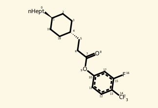 CCCCCCC[C@H]1CC[C@H](CCC(=O)Oc2ccc(C(F)(F)F)c(F)c2)CC1